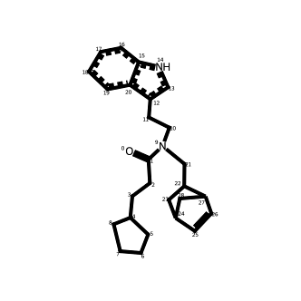 O=C(CCC1CCCC1)N(CCc1c[nH]c2ccccc12)CC1CC2C=CC1C2